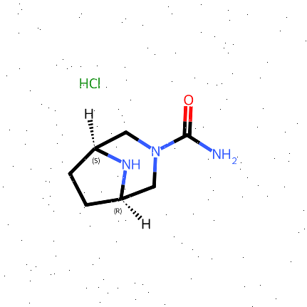 Cl.NC(=O)N1C[C@H]2CC[C@@H](C1)N2